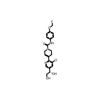 O=C(Nc1ccc(OCF)cc1)N1CC=C(c2ncc([C@H](O)CO)cc2Cl)CC1